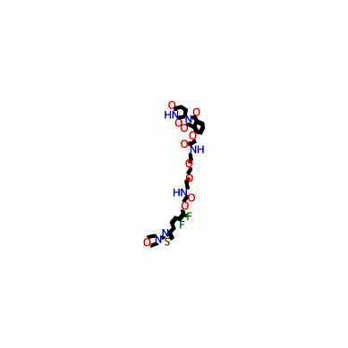 O=C(COC/C(F)=C(F)\C=C/Cc1csc(N2CCOCC2)n1)NCCOCCOCCNC(=O)COc1cccc2c1C(=O)N(C1CCC(=O)NC1=O)C2=O